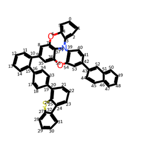 c1ccc2c(c1)Oc1cc(-c3ccccc3-c3ccc(-c4cccc5c4sc4ccccc45)cc3)cc3c1N2c1ccc(-c2ccc4ccccc4c2)cc1O3